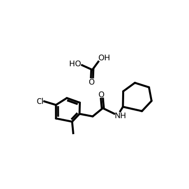 Cc1cc(Cl)ccc1CC(=O)NC1CCCCC1.O=C(O)O